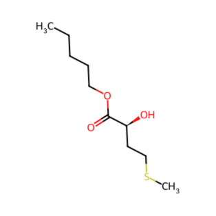 CCCCCOC(=O)[C@@H](O)CCSC